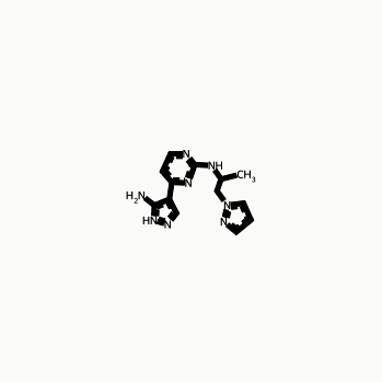 CC(Cn1cccn1)Nc1nccc(-c2cn[nH]c2N)n1